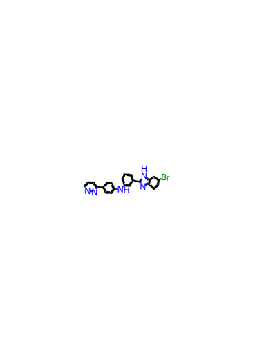 Brc1ccc2nc(-c3cccc(Nc4ccc(-c5cccnn5)cc4)c3)[nH]c2c1